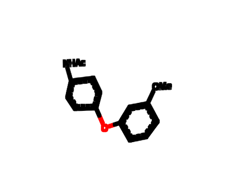 COc1cccc(Oc2ccc(NC(C)=O)cc2)c1